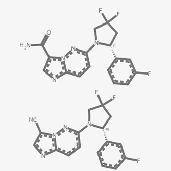 N#Cc1cnc2ccc(N3CC(F)(F)C[C@@H]3c3cccc(F)c3)nn12.NC(=O)c1cnc2ccc(N3CC(F)(F)C[C@@H]3c3cccc(F)c3)nn12